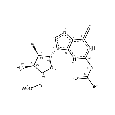 COC[C@H]1O[C@@H](n2cnc3c(=O)[nH]c(NC(=O)C(C)C)nc32)[C@H](C)[C@@H]1N